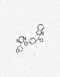 O=C(c1ccc(Oc2nccnc2[C@H]2CCOC2)cc1)c1nc2ccccc2s1